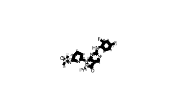 CC(C)n1c(=O)c2cnc(Nc3ccc(F)cc3F)nc2n1-c1cccc(N=S(C)(C)=O)n1